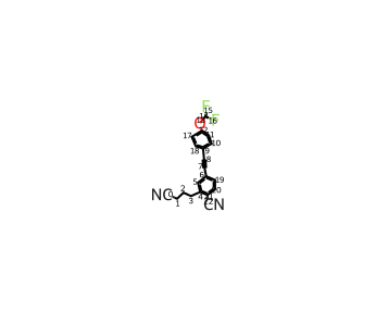 N#CCCCc1cc(C#Cc2ccc(OC(F)F)cc2)ccc1C#N